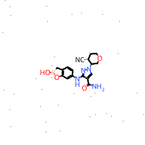 N#C[C@@H]1CCOC[C@H]1n1cc(C(N)=O)c(Nc2ccc3c(c2)OB(O)C3)n1